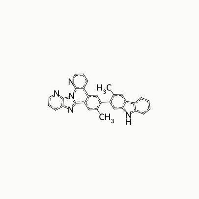 Cc1cc2c(cc1-c1cc3c4cccnc4n4c5ncccc5nc4c3cc1C)[nH]c1ccccc12